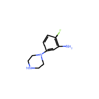 Nc1cc(N2CCNCC2)ccc1F